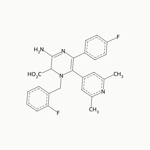 Cc1cc(C2=C(c3ccc(F)cc3)N=C(N)C(C(=O)O)N2Cc2ccccc2F)cc(C)n1